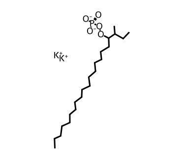 CCCCCCCCCCCCCCCCCC(OOP(=O)([O-])[O-])C(C)CC.[K+].[K+]